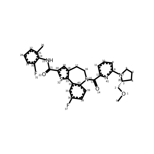 COC[C@H]1CCCN1c1cccc(C(=O)N2CCc3cc(C(=O)Nc4c(C)cccc4F)sc3-c3cc(F)ccc32)n1